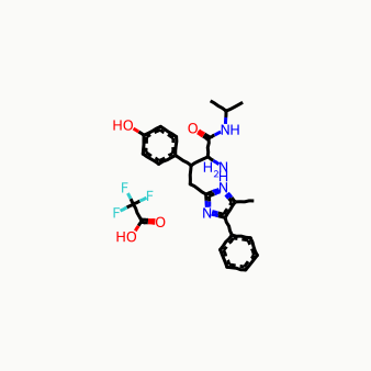 Cc1[nH]c(CC(c2ccc(O)cc2)C(N)C(=O)NC(C)C)nc1-c1ccccc1.O=C(O)C(F)(F)F